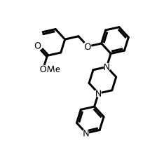 C=CC(COc1ccccc1N1CCN(c2ccncc2)CC1)CC(=O)OC